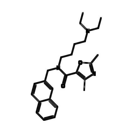 CCN(CC)CCCCN(Cc1ccc2ccccc2c1)C(=O)c1oc(C)nc1C